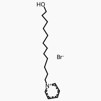 OCCCCCCCCCCCC[n+]1ccccc1.[Br-]